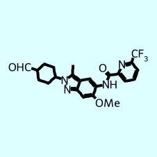 COc1cc2nn(C3CCC(C=O)CC3)c(C)c2cc1NC(=O)c1cccc(C(F)(F)F)n1